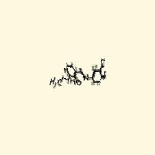 CCCc1nccc(/C=N/c2ccc(F)c(Cl)c2)c1O